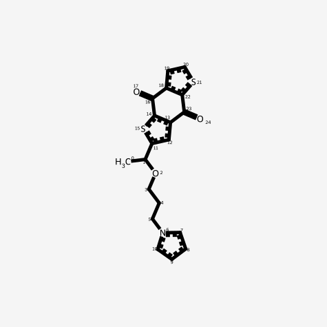 CC(OCCCn1cccc1)c1cc2c(s1)C(=O)c1ccsc1C2=O